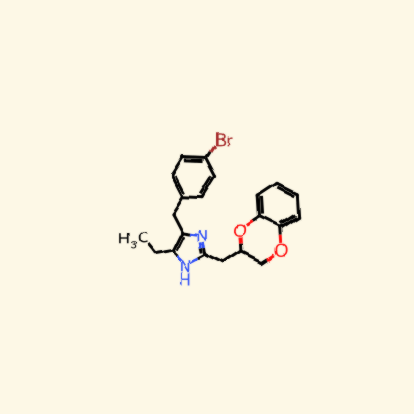 CCc1[nH]c(CC2COc3ccccc3O2)nc1Cc1ccc(Br)cc1